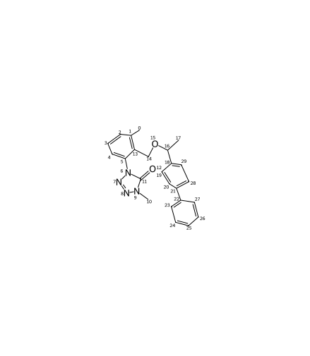 Cc1cccc(-n2nnn(C)c2=O)c1COC(C)c1ccc(-c2ccccc2)cc1